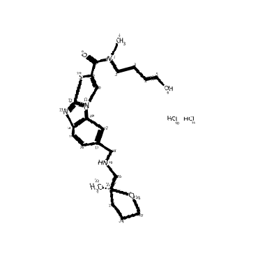 CN(CCCCO)C(=O)c1cn2c(nc3ccc(CNC[C@]4(C)CCCO4)cc32)s1.Cl.Cl